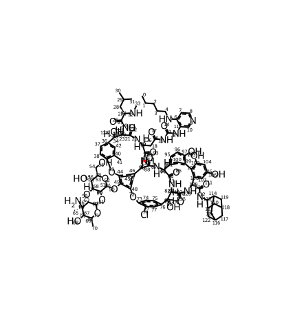 CCCCCNc1ccncc1NC(=O)NC(=O)C[C@@H]1NC(=O)[C@H](NC(=O)[C@@H](CC(C)C)NC)[C@H](O)c2ccc(c(C)c2)Oc2cc3cc(c2O[C@@H]2O[C@H](CO)[C@@H](O)[C@H](O)[C@H]2O[C@H]2C[C@](C)(N)[C@H](O)[C@H](C)O2)Oc2ccc(cc2Cl)[C@@H](O)[C@@H]2NC(=O)[C@H](NC(=O)[C@@H]3NC1=O)c1ccc(O)c(c1)-c1c(O)cc(O)cc1[C@@H](C(=O)NC1C3CC4CC(C3)CC1C4)NC2=O